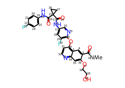 CNC(=O)c1cc2c(Oc3ncc(NC(=O)C4(C(=O)Nc5ccc(F)cc5)CC4)cc3F)ccnc2cc1OCCO